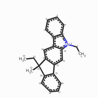 CCn1c2ccccc2c2cc3c(cc21)-c1ccccc1C3(C)CC